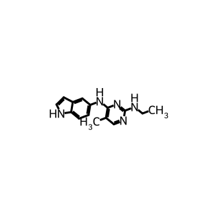 CCNc1ncc(C)c(Nc2ccc3[nH]ccc3c2)n1